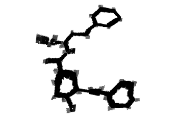 O=C(N[C@@H](CCC1C=CC=CC1)C(=O)O)c1ccc(Cl)c(C#Cc2ccccc2)c1